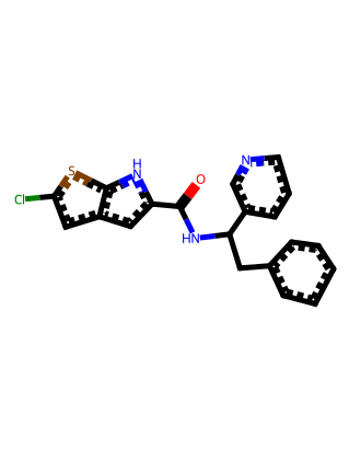 O=C(NC(Cc1ccccc1)c1cccnc1)c1cc2cc(Cl)sc2[nH]1